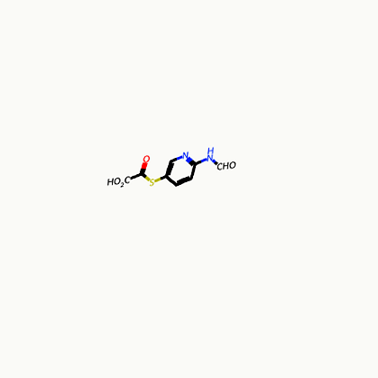 O=CNc1ccc(SC(=O)C(=O)O)cn1